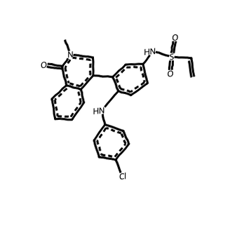 C=CS(=O)(=O)Nc1ccc(Nc2ccc(Cl)cc2)c(-c2cn(C)c(=O)c3ccccc23)c1